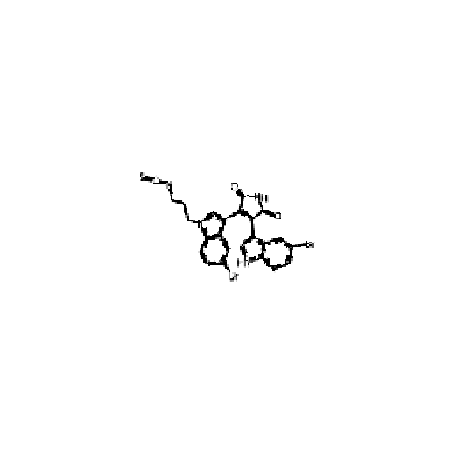 O=C1NC(=O)C(c2cn(CCCN=C=S)c3ccc(Br)cc23)=C1c1c[nH]c2ccc(Br)cc12